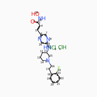 Cl.Cl.O=C(/C=C/c1cnc(N[C@@H]2CCCN(CCc3ccccc3F)C2)cn1)NO